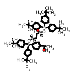 CC(C)(C)c1ccc(S(OS(=O)(=O)CCS(=O)(=O)OS(c2ccc(C(C)(C)C)cc2)(c2ccc(C(C)(C)C)cc2)c2ccc(C(C)(C)C)cc2)(c2ccc(C(C)(C)C)cc2)c2ccc(C(C)(C)C)cc2)cc1